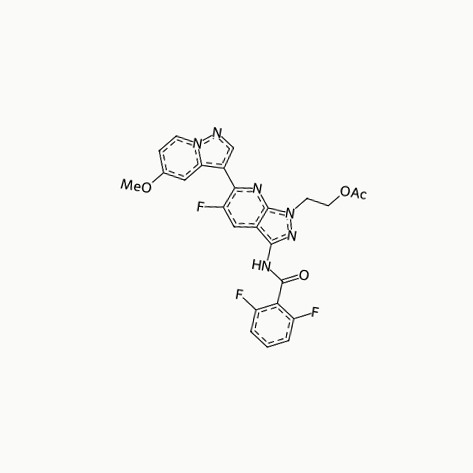 COc1ccn2ncc(-c3nc4c(cc3F)c(NC(=O)c3c(F)cccc3F)nn4CCOC(C)=O)c2c1